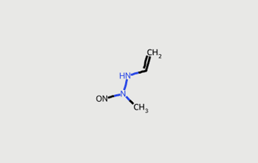 C=CNN(C)N=O